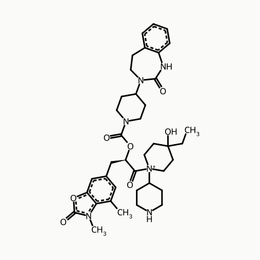 CCC1(O)CC[N+](C(=O)[C@@H](Cc2cc(C)c3c(c2)oc(=O)n3C)OC(=O)N2CCC(N3CCc4ccccc4NC3=O)CC2)(C2CCNCC2)CC1